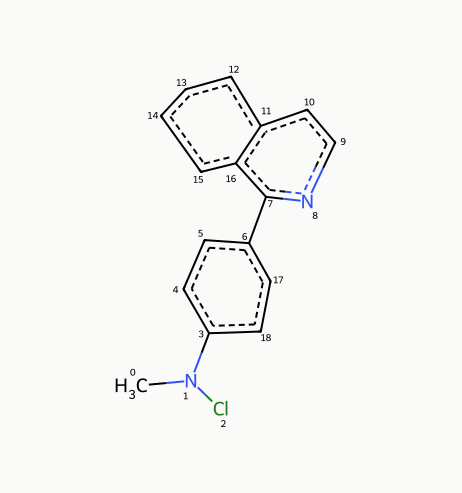 CN(Cl)c1ccc(-c2nccc3ccccc23)cc1